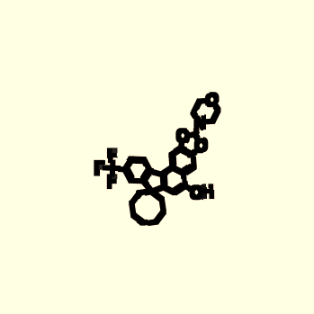 Oc1cc2c(c3cc4c(cc13)OC(N1CCOCC1)O4)-c1ccc(C(F)(F)F)cc1C21CCCCCCC1